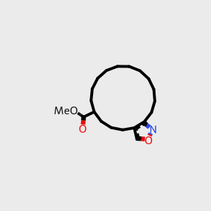 COC(=O)C1CCCCCCCCCCCc2nocc2CCC1